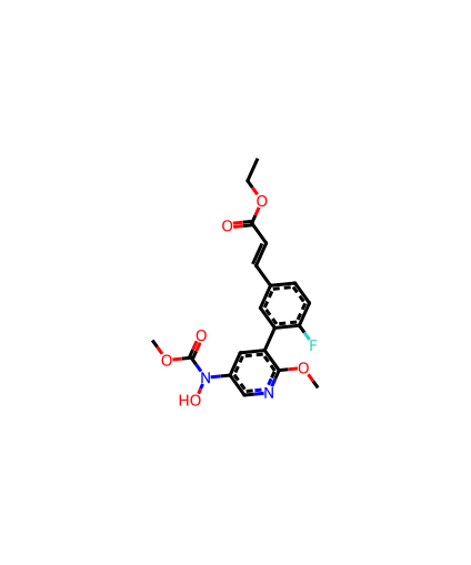 CCOC(=O)/C=C/c1ccc(F)c(-c2cc(N(O)C(=O)OC)cnc2OC)c1